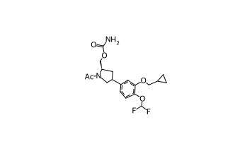 CC(=O)N1CC(c2ccc(OC(F)F)c(OCC3CC3)c2)C[C@@H]1COC(N)=O